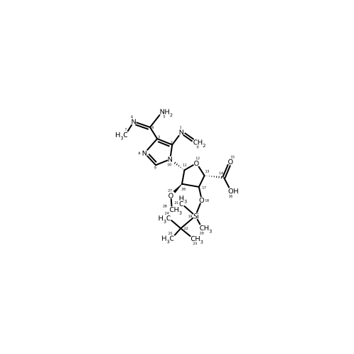 C=Nc1c(/C(N)=N\C)ncn1[C@@H]1O[C@H](C(=O)O)C(O[Si](C)(C)C(C)(C)C)[C@H]1OC